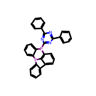 c1ccc(-c2nc(-c3ccccc3)nc(P3c4ccccc4-p4c5ccccc5c5cccc3c54)n2)cc1